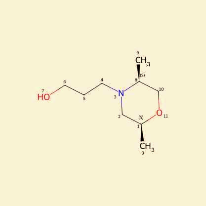 C[C@H]1CN(CCCO)[C@@H](C)CO1